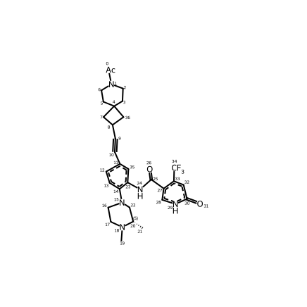 CC(=O)N1CCC2(CC1)CC(C#Cc1ccc(N3CCN(C)[C@@H](C)C3)c(NC(=O)c3c[nH]c(=O)cc3C(F)(F)F)c1)C2